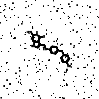 Nc1ccc(Cc2ccc(NCc3c[nH]c4nc(N)[nH]c(=O)c34)cc2)cc1